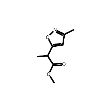 COC(=O)C(C)c1cc(C)no1